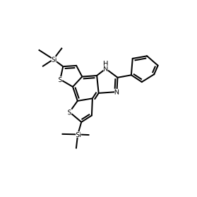 C[Si](C)(C)c1cc2c3nc(-c4ccccc4)[nH]c3c3cc([Si](C)(C)C)sc3c2s1